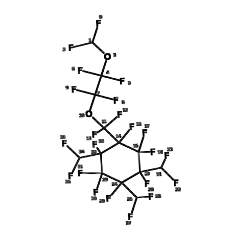 FC(F)OC(F)(F)C(F)(F)OC(F)(F)C1(F)C(F)(F)C(F)(C(F)F)C(F)(C(F)F)C(F)(F)C1(F)C(F)F